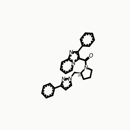 O=C(c1c(-c2ccccc2)nc2ccccn12)N1CCC[C@H]1Cn1ccc(-c2ccccc2)n1